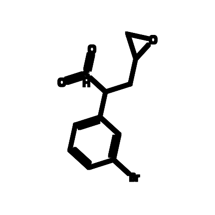 O=[SH](=O)C(CC1CO1)c1cccc(Br)c1